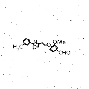 COc1cc(C=O)ccc1OCCc1coc(-c2cccc(C)c2)n1